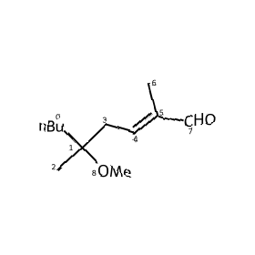 CCCCC(C)(CC=C(C)C=O)OC